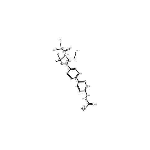 CC1(C)O[C@H](c2ccc(-c3ccc(COC(N)=O)nc3)cc2)[C@@H](CF)N1C(=O)C(F)F